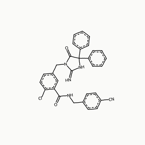 N#Cc1ccc(CNC(=O)c2cc(CN3C(=N)NC(c4ccccc4)(c4ccccc4)C3=O)ccc2Cl)cc1